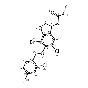 COC(=O)C[C@@H]1COc2c1cc(Cl)c(OCc1ccc(Cl)cc1Cl)c2Br